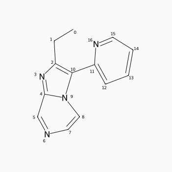 CCc1nc2cnccn2c1-c1ccccn1